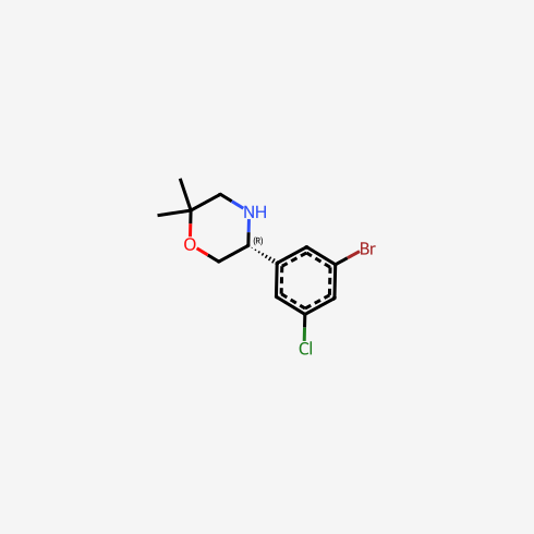 CC1(C)CN[C@H](c2cc(Cl)cc(Br)c2)CO1